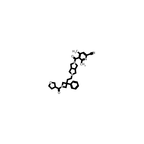 Cc1cc(C#N)nc(C)c1C(=O)N1CC2CN(CCC3(c4ccccc4)CN(C(=O)C4CCOC4)C3)CC2C1